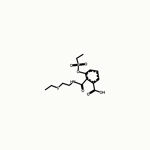 CCSCCNC(=O)c1c(OS(=O)(=O)CC)cccc1C(=O)O